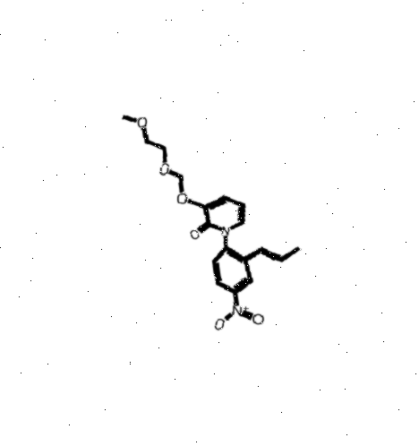 CC=Cc1cc([N+](=O)[O-])ccc1-n1cccc(OCOCCOC)c1=O